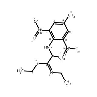 CC/N=C(/SCC)C(C)Nc1c([N+](=O)[O-])cc(C)cc1[N+](=O)[O-]